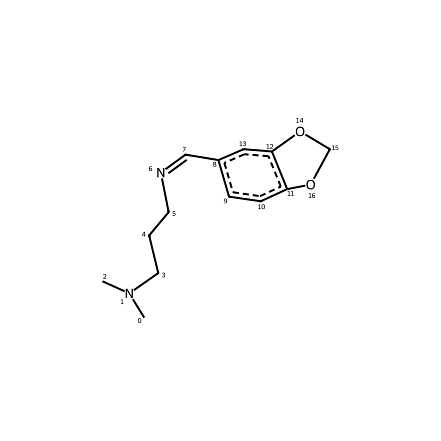 CN(C)CCC/N=C\c1ccc2c(c1)OCO2